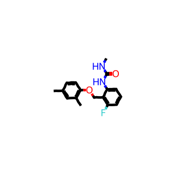 CNC(=O)Nc1cccc(F)c1COc1ccc(C)cc1C